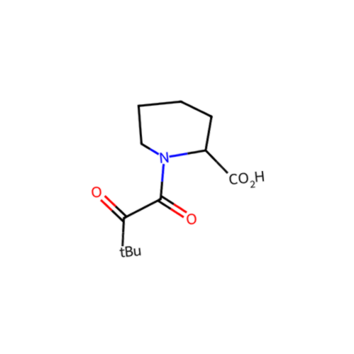 CC(C)(C)C(=O)C(=O)N1CCCCC1C(=O)O